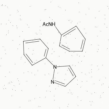 CC(=O)Nc1ccccc1.c1ccc(-n2cccn2)cc1